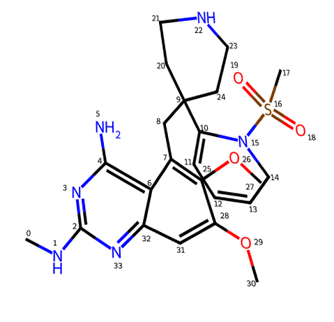 CNc1nc(N)c2c(CC3(C4=CC=CCN4S(C)(=O)=O)CCNCC3)c(OC)c(OC)cc2n1